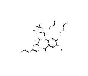 C=CCOC(=O)N1c2cc(OCCCI)c(OC)cc2C(=O)N2C=C(/C=C/C)C[C@H]2C1O[Si](C)(C)C(C)(C)C